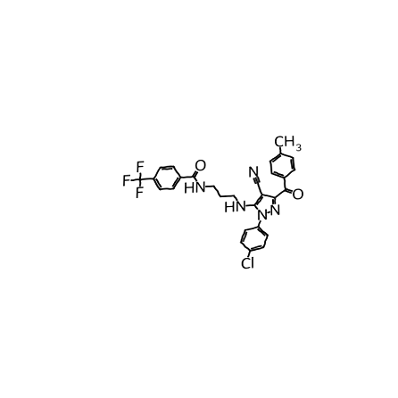 Cc1ccc(C(=O)c2nn(-c3ccc(Cl)cc3)c(NCCCNC(=O)c3ccc(C(F)(F)F)cc3)c2C#N)cc1